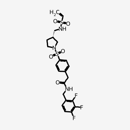 C=CS(=O)(=O)NC[C@H]1CCN(S(=O)(=O)c2ccc(CC(=O)NCc3ccc(F)c(F)c3F)cc2)C1